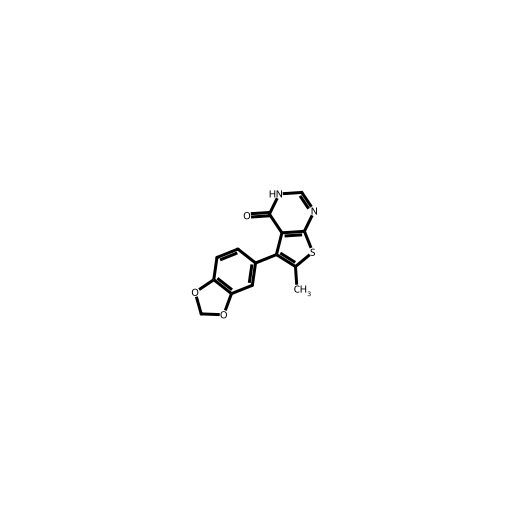 Cc1sc2nc[nH]c(=O)c2c1-c1ccc2c(c1)OCO2